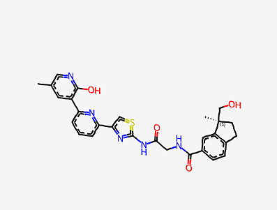 Cc1cnc(O)c(-c2cccc(-c3csc(NC(=O)CNC(=O)c4ccc5c(c4)[C@@](C)(CO)CC5)n3)n2)c1